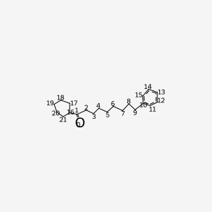 O=C(CCCCCCCCc1ccccc1)C1CCCCC1